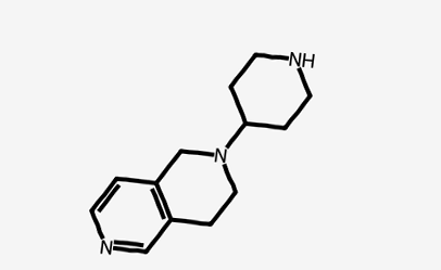 c1cc2c(cn1)CCN(C1CCNCC1)C2